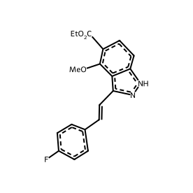 CCOC(=O)c1ccc2[nH]nc(/C=C/c3ccc(F)cc3)c2c1OC